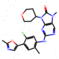 Cc1ncc(-c2cc(C)c(Nc3ncc4c(n3)n(C3CCOCC3)c(=O)n4C)cc2F)o1